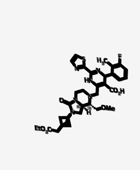 CCOC(=O)CC12CC(N3C[C@@H]4[C@@H](COC)N(CC5=C(C(=O)O)C(c6cccc(F)c6C)N=C(c6nccs6)N5)CCN4C3=O)(C1)C2